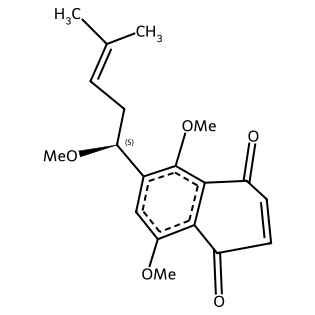 COc1cc([C@H](CC=C(C)C)OC)c(OC)c2c1C(=O)C=CC2=O